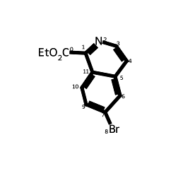 CCOC(=O)c1nccc2cc(Br)ccc12